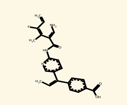 C=C/C(F)=C(C)\C(=C/N)C(=O)Nc1ccc(/C(=C\C)c2ccc(C(=O)O)cc2)cn1